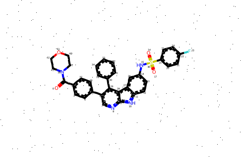 O=C(c1ccc(-c2cnc3[nH]c4ccc(NS(=O)(=O)c5ccc(F)cc5)cc4c3c2-c2ccccc2)cc1)N1CCOCC1